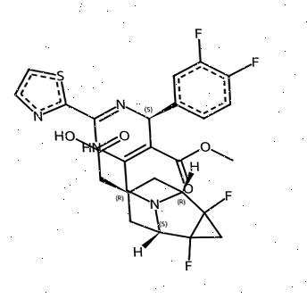 COC(=O)C1=C(CN2[C@H]3C[C@@H](CC(=O)O)C[C@@H]2C2(F)CC32F)NC(c2nccs2)=N[C@H]1c1ccc(F)c(F)c1